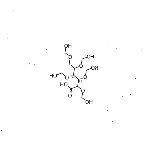 O=C(O)C(OCO)[C@@H](OCO)[C@H](OCO)C(COCO)OCO